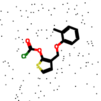 Cc1ccccc1OCc1ccsc1OC(=O)Cl